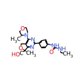 CCNC(=O)Nc1ccc(-c2nc(N3CCOC[C@@H]3C)c3c(n2)[C@](C)(CO)OC3)cc1